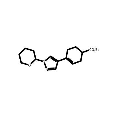 CCOC(=O)C1CC=C(c2cnn(C3CCCCO3)c2)CC1